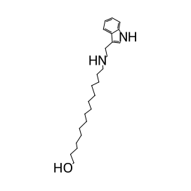 OCCCCCCCCCCCCCCCNCCc1c[nH]c2ccccc12